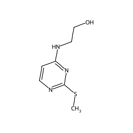 CSc1nccc(NCCO)n1